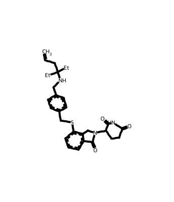 C=CCC(CC)(CC)NCc1ccc(CSc2cccc3c2CN(C2CCC(=O)NC2=O)C3=O)cc1